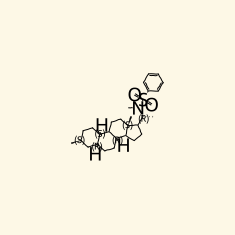 C[C@H]1CC[C@@H]2C3CC[C@@]4(C)C(CCC4[C@@H](C)N(C)S(=O)(=O)c4ccccc4)[C@@H]3CC[C@@H]2C1